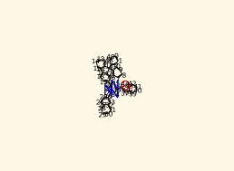 c1ccc(C2(c3ccccc3)c3ccccc3-c3ccc(-c4nc(-c5ccc6ccccc6c5)nc(-c5cc6ccccc6o5)n4)cc32)cc1